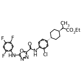 CCOC(=O)C(C)[C@H]1CC[C@H](c2ccc(NC(=O)c3nnc(Nc4cc(F)c(F)cc4F)o3)c(Cl)c2)CC1